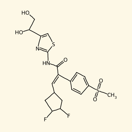 CS(=O)(=O)c1ccc(/C(=C\C2CC(F)C(F)C2)C(=O)Nc2nc(C(O)CO)cs2)cc1